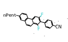 CCCCCc1ccc2c(ccc3c(F)c(-c4ccc(C#N)cc4)c(F)cc32)c1